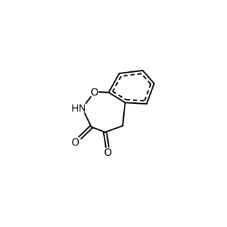 O=C1Cc2ccccc2ONC1=O